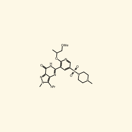 CCCc1c2nc(-c3cc(S(=O)(=O)N4CCN(C)CC4)cnc3OC(C)COC)[nH]c(=O)c2nn1C